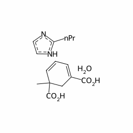 CC1(C(=O)O)C=CC=C(C(=O)O)C1.CCCc1ncc[nH]1.O